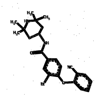 CCc1cc(C(=O)NC2CC(C)(C)NC(C)(C)C2)ccc1Oc1ccccc1C#N